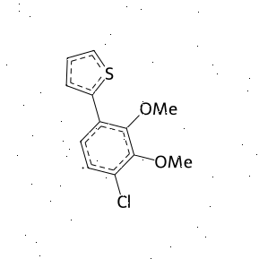 COc1c(Cl)[c]cc(-c2cccs2)c1OC